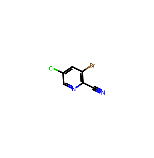 N#Cc1ncc(Cl)cc1Br